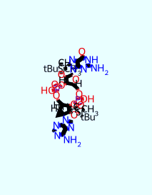 CC(C)(C)[Si](C)(C)OC1[C@H](n2cnc3c(=O)[nH]c(N)nc32)O[C@@H]2COP(=O)(O)O[C@H]3C(O[Si](C)(C)C(C)(C)C)[C@@]4(n5cnc6c(N)ncnc65)C[C@H]4[C@@H]3COP(=O)(O)O[C@@H]12